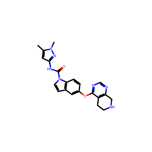 Cc1cc(NC(=O)n2ccc3cc(Oc4ncnc5c4CCNC5)ccc32)nn1C